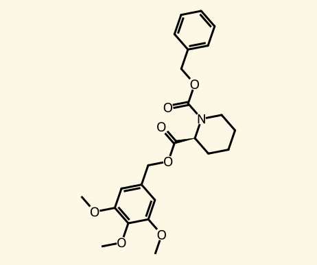 COc1cc(COC(=O)[C@@H]2CCCCN2C(=O)OCc2ccccc2)cc(OC)c1OC